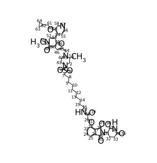 CC1CN(S(=O)(=O)CCCCCCCCCCNC(=O)COc2cccc3c2C(=O)N(C2CCC(=O)NC2=O)C3=O)CCN1Cc1cc2c(=O)n(C)cc(-c3ccncc3OCC3CC3)c2o1